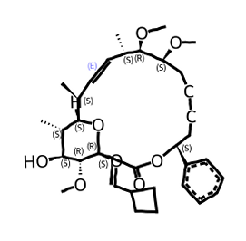 CO[C@H]1[C@@H](OC)CCCC[C@@H](c2ccccc2)OC(=O)[C@@H](C)[C@@]2(OCC3CCC3)O[C@H]([C@@H](C)[C@H](O)[C@H]2OC)[C@@H](C)/C=C/[C@@H]1C